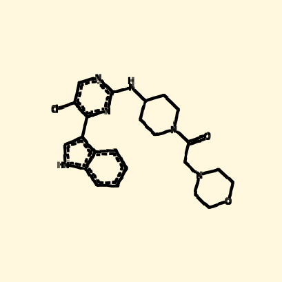 O=C(CN1CCOCC1)N1CCC(Nc2ncc(Cl)c(-c3c[nH]c4ccccc34)n2)CC1